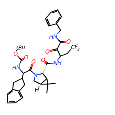 CC(C)(C)OC(=O)NC(C(=O)N1C[C@H]2C([C@H]1C(=O)NC(CC(F)(F)F)C(=O)C(=O)NCc1ccccc1)C2(C)C)C1Cc2ccccc2C1